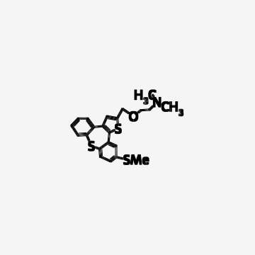 CSc1ccc2c(c1)-c1sc(COCCN(C)C)cc1-c1ccccc1S2